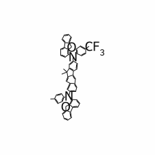 Cc1ccc(N(c2ccc3cc4c(cc3c2)C(C)(C)c2cc(N(c3ccc(C(F)(F)F)cc3)c3cccc5c3oc3ccccc35)ccc2-4)c2cccc3c2oc2ccccc23)cc1